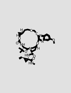 C=C[C@@H]1C[C@]1(NC(=O)[C@@H]1C[C@@H]2CN1C(=O)[C@H](C(C)(C)C)NC(=O)O[C@@H]1C[C@H]1CCCCCc1nc3ccc(OC)cc3nc1O2)C(=O)NC